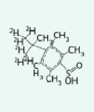 [2H]C([2H])([2H])C(C)(c1c(C)c(C)c(S(=O)O)c(C)c1C)C([2H])([2H])[2H]